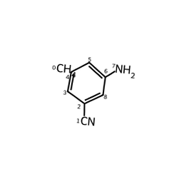 C.N#Cc1cccc(N)c1